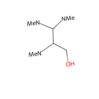 CN[C](NC)C(CO)NC